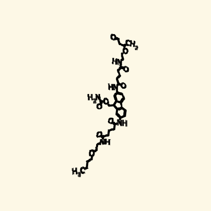 C=C(CC=O)OCCNC(=O)CCCC(=O)Nc1ccc2c(c1)C(COC(N)=O)c1cc(NC(=O)CCCC(=O)NCCOCCCC)ccc1-2